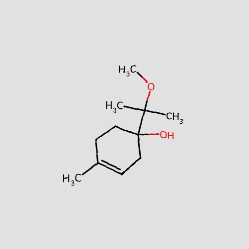 COC(C)(C)C1(O)CC=C(C)CC1